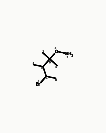 CC(Br)C(C)C(C)(C)O[SiH3]